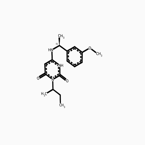 CCC(C)n1c(=O)cc(N[C@@H](C)c2cccc(OC)c2)[nH]c1=O